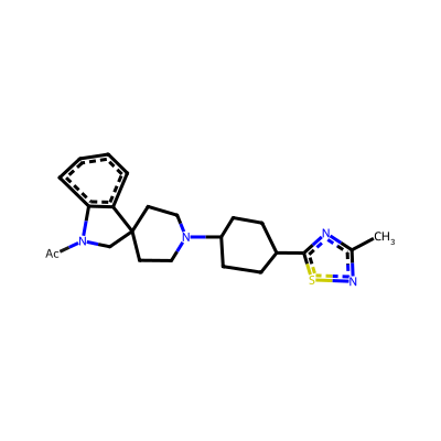 CC(=O)N1CC2(CCN(C3CCC(c4nc(C)ns4)CC3)CC2)c2ccccc21